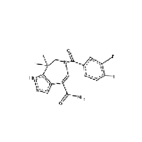 CC1(C)CN(C(=O)c2ccc(F)c(F)c2)C=C(C(N)=O)c2cn[nH]c21